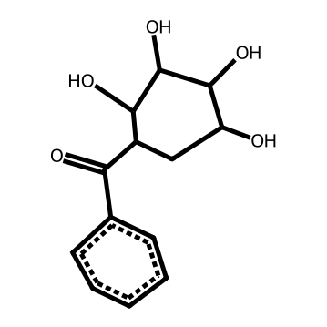 O=C(c1ccccc1)C1CC(O)C(O)C(O)C1O